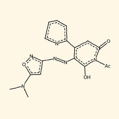 CC(=O)n1c(O)c(N=Nc2cc(N(C)C)on2)c(-c2ccccn2)cc1=O